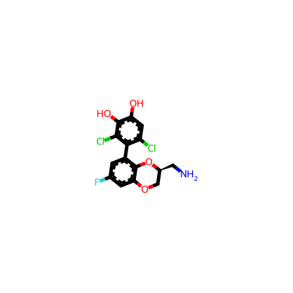 NC[C@H]1COc2cc(F)cc(-c3c(Cl)cc(O)c(O)c3Cl)c2O1